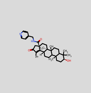 CC(C)C1=C2[C@H]3CCC4[C@@]5(C)CC[C@H](O)C(C)(C)C5CC[C@@]4(C)[C@]3(C)CC[C@@]2(C(=O)NCc2ccncc2)CC1=O